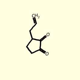 C=CCC1CCC(=O)C1=O